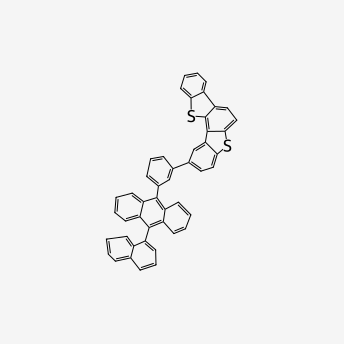 c1cc(-c2ccc3sc4ccc5c6ccccc6sc5c4c3c2)cc(-c2c3ccccc3c(-c3cccc4ccccc34)c3ccccc23)c1